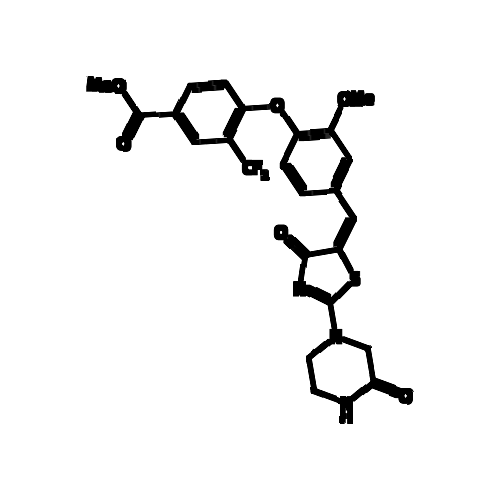 COC(=O)c1ccc(Oc2ccc(C=C3SC(N4CCNC(=O)C4)=NC3=O)cc2OC)c(C(F)(F)F)c1